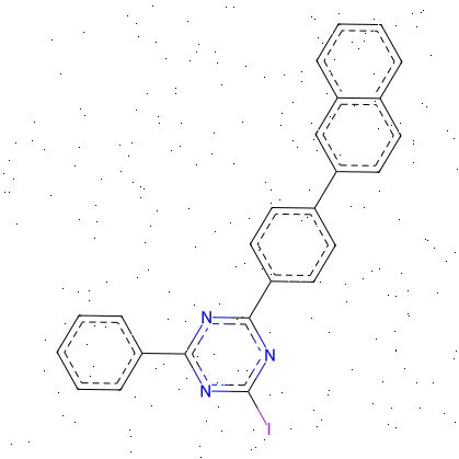 Ic1nc(-c2ccccc2)nc(-c2ccc(-c3ccc4ccccc4c3)cc2)n1